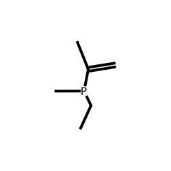 C=C(C)P(C)CC